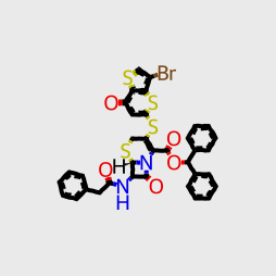 O=C(Cc1ccccc1)NC1C(=O)N2C(C(=O)OC(c3ccccc3)c3ccccc3)=C(Sc3cc(=O)c4scc(Br)c4s3)CS[C@H]12